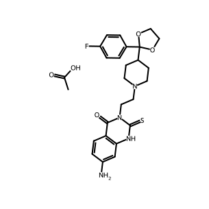 CC(=O)O.Nc1ccc2c(=O)n(CCN3CCC(C4(c5ccc(F)cc5)OCCO4)CC3)c(=S)[nH]c2c1